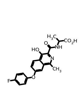 Cc1nc(C(=O)NC(C)C(=O)O)c(O)c2ccc(Oc3ccc(F)cc3)cc12